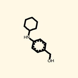 OCc1ccc(NC2CCCCC2)cc1